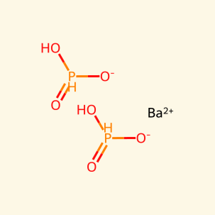 O=[PH]([O-])O.O=[PH]([O-])O.[Ba+2]